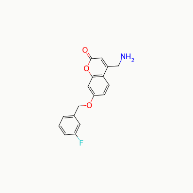 NCc1cc(=O)oc2cc(OCc3cccc(F)c3)ccc12